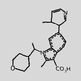 Cc1c(C(=O)O)c2ccc(C3C=NC=CC3C)cc2n1C(C)C1CCOCC1